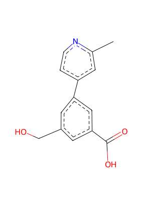 Cc1cc(-c2cc(CO)cc(C(=O)O)c2)ccn1